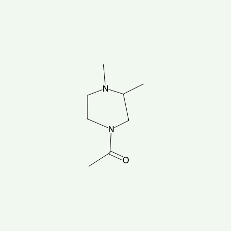 CC(=O)N1CCN(C)C(C)C1